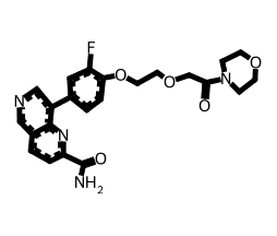 NC(=O)c1ccc2cncc(-c3ccc(OCCOCC(=O)N4CCOCC4)c(F)c3)c2n1